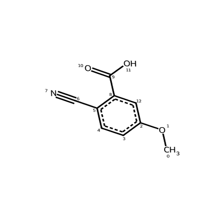 COc1ccc(C#N)c(C(=O)O)c1